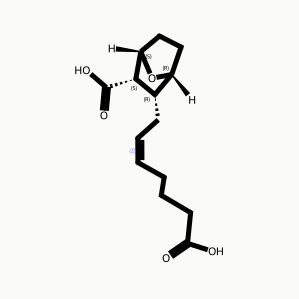 O=C(O)CCC/C=C\C[C@@H]1[C@H](C(=O)O)[C@@H]2CC[C@H]1O2